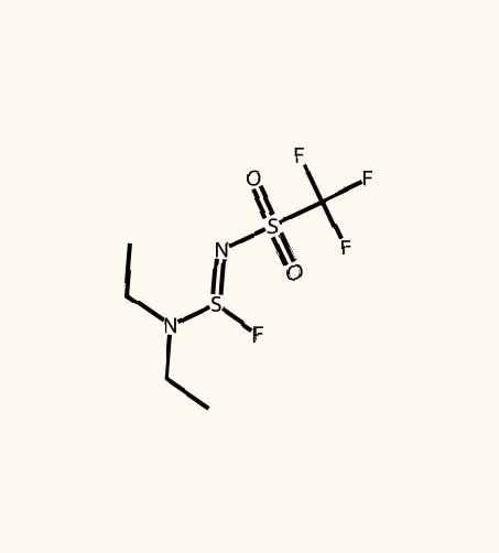 CCN(CC)S(F)=NS(=O)(=O)C(F)(F)F